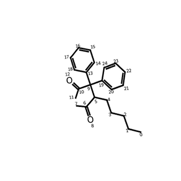 CCCCCC(C(C)=O)C(C(C)=O)(c1ccccc1)c1ccccc1